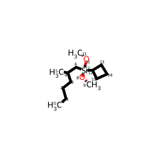 CCCCC(C)C[Si](OC)(OC)C1CCC1